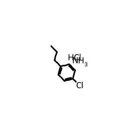 CCCc1ccc(Cl)cc1.Cl.N